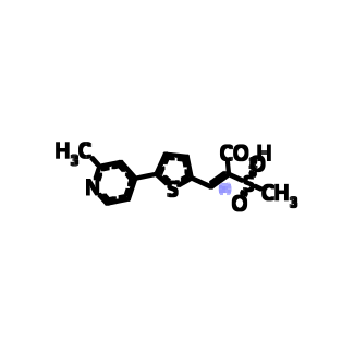 Cc1cc(-c2ccc(/C=C(\C(=O)O)S(C)(=O)=O)s2)ccn1